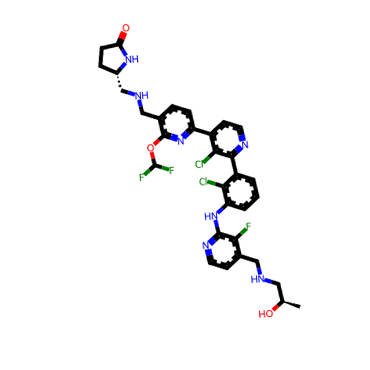 C[C@@H](O)CNCc1ccnc(Nc2cccc(-c3nccc(-c4ccc(CNC[C@@H]5CCC(=O)N5)c(OC(F)F)n4)c3Cl)c2Cl)c1F